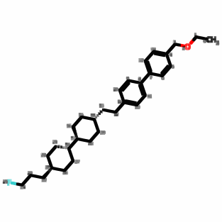 CCOCc1ccc(-c2ccc(CC[C@H]3CC[C@H]([C@H]4CC[C@H](CCCF)CC4)CC3)cc2)cc1